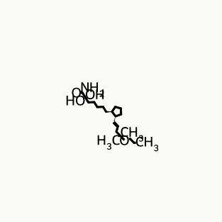 CCCOC(C)(C)CC=C[C@H]1CCC[C@@H]1CCCCCC(O)(O)C(N)=O